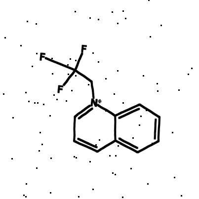 FC(F)(F)C[n+]1cccc2ccccc21